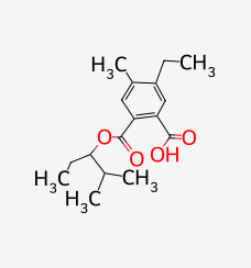 CCc1cc(C(=O)O)c(C(=O)OC(CC)C(C)C)cc1C